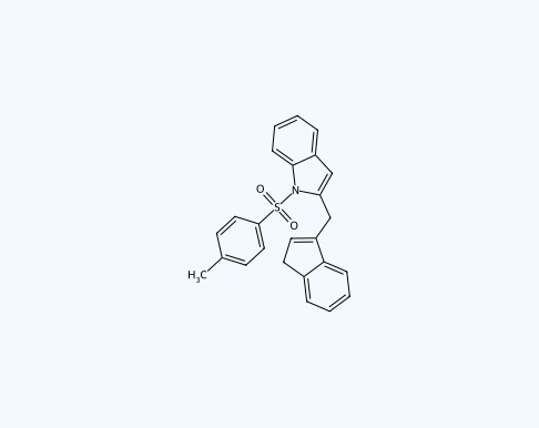 Cc1ccc(S(=O)(=O)n2c(CC3=CCc4ccccc43)cc3ccccc32)cc1